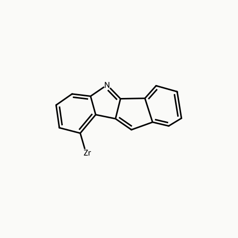 [Zr][c]1cccc2c1C1=Cc3ccccc3C1=N2